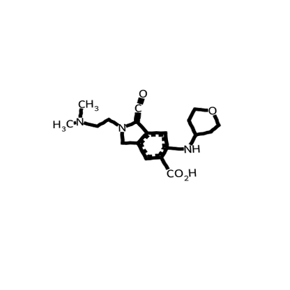 CN(C)CCN1Cc2cc(C(=O)O)c(NC3CCOCC3)cc2C1=C=O